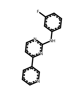 Fc1cccc(Nc2nccc(-c3cccnc3)n2)c1